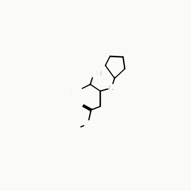 COC(=O)CC(NC1CCCC1)C(C)C